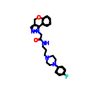 O=C(Cn1ncc2c1-c1ccccc1OC2)NCCCN1CCN(c2ccc(F)cc2)CC1